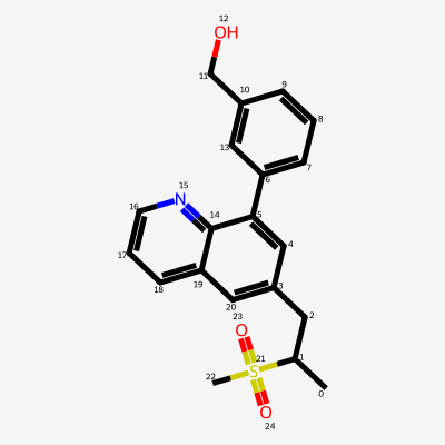 CC(Cc1cc(-c2cccc(CO)c2)c2ncccc2c1)S(C)(=O)=O